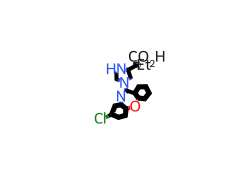 CC[C@H](C(=O)O)C1CN(C2=Nc3cc(Cl)ccc3Oc3ccccc32)CCN1